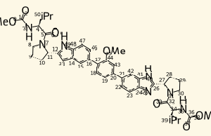 COC(=O)N[C@H](C(=O)N1CCC[C@H]1c1cc2cc(-c3ccc(-c4ccc5nc([C@@H]6CCCN6C(=O)[C@@H](NC(=O)OC)C(C)C)[nH]c5c4)cc3OC)ccc2[nH]1)C(C)C